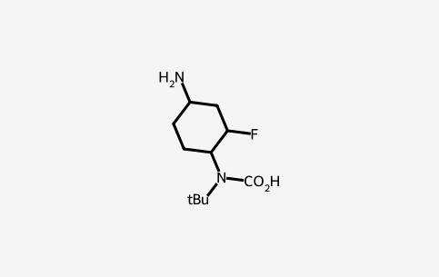 CC(C)(C)N(C(=O)O)C1CCC(N)CC1F